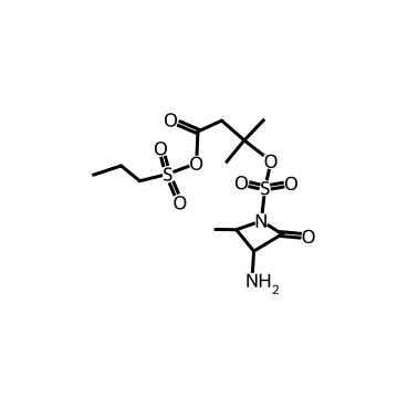 CCCS(=O)(=O)OC(=O)CC(C)(C)OS(=O)(=O)N1C(=O)C(N)C1C